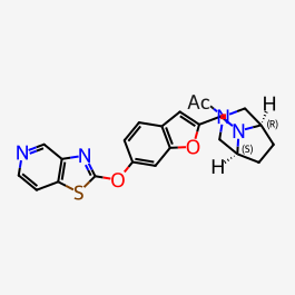 CC(=O)N1C[C@H]2CC[C@@H](C1)N2Cc1cc2ccc(Oc3nc4cnccc4s3)cc2o1